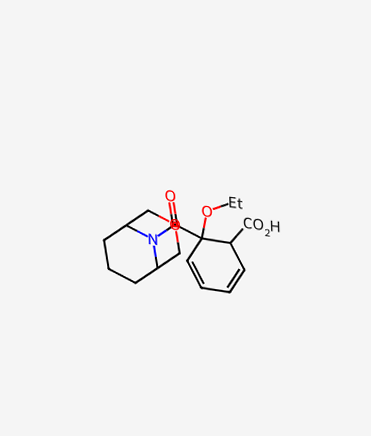 CCOC1(C(=O)N2C3CCCC2COC3)C=CC=CC1C(=O)O